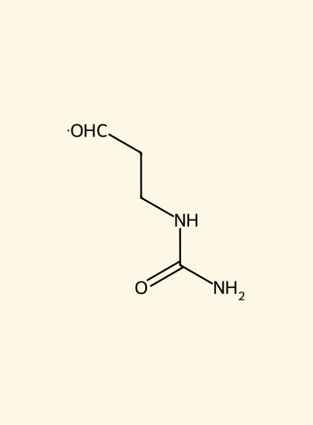 NC(=O)NCC[C]=O